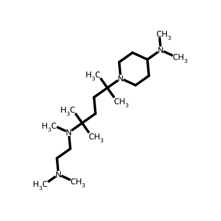 CN(C)CCN(C)C(C)(C)CCC(C)(C)N1CCC(N(C)C)CC1